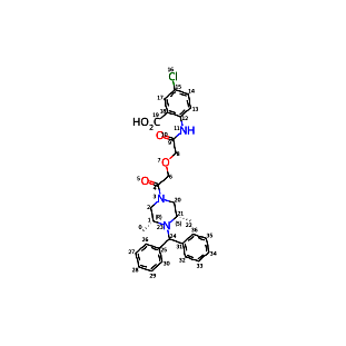 C[C@@H]1CN(C(=O)COCC(=O)Nc2ccc(Cl)cc2C(=O)O)C[C@H](C)N1C(c1ccccc1)c1ccccc1